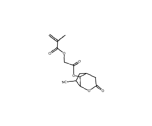 C=C(C)C(=O)OCC(=O)OC1C2CC(=O)OC1C(C#N)C2